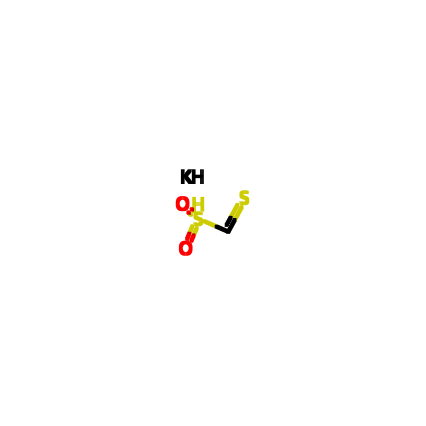 O=[SH](=O)C=S.[KH]